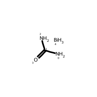 NC(N)=O.[BiH3]